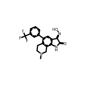 CN1CCc2c(-c3cccc(C(F)(F)F)c3)cc3c(c2C1)NC(=O)/C3=N/O